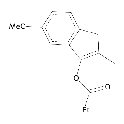 CCC(=O)OC1=C(C)Cc2ccc(OC)cc21